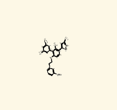 COc1cccc(CCOc2ccc(-c3cc(C(F)(F)F)n[nH]3)c(O)c2-c2cc(C(F)(F)F)cc(C(F)(F)F)c2)c1